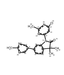 Cc1ncc(-c2ccc3c(c2)N(c2cc(Cl)nc(C)n2)C(=O)C3(C)C)cn1